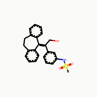 CS(=O)(=O)Nc1cccc(C(CO)=C2c3ccccc3CCc3ccccc32)c1